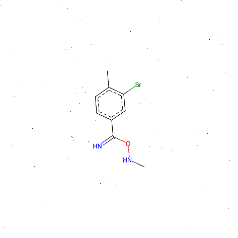 CNOC(=N)c1ccc(C)c(Br)c1